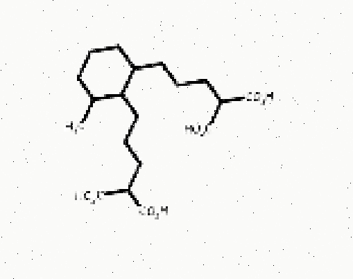 CC1CCCC(CCCC(C(=O)O)C(=O)O)C1CCCC(C(=O)O)C(=O)O